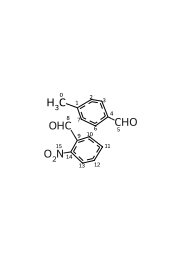 Cc1ccc(C=O)cc1.O=Cc1ccccc1[N+](=O)[O-]